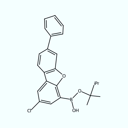 CC(C)C(C)(C)OB(O)c1cc(Cl)cc2c1oc1cc(-c3ccccc3)ccc12